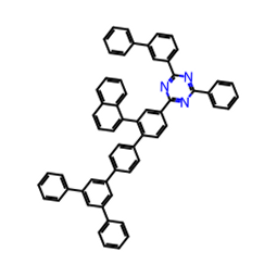 c1ccc(-c2cc(-c3ccccc3)cc(-c3ccc(-c4ccc(-c5nc(-c6ccccc6)nc(-c6cccc(-c7ccccc7)c6)n5)cc4-c4cccc5ccccc45)cc3)c2)cc1